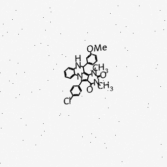 COc1cccc(C2Nc3ccccc3-n3c(-c4ccc(Cl)cc4)c4c(=O)n(C)c(=O)n(C)c4c32)c1